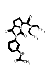 CCN(CC)C(=O)C1CCC2C(=O)N(c3cccc(NC(C)=O)c3)C(=O)N12